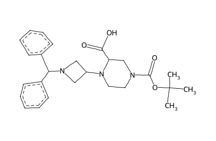 CC(C)(C)OC(=O)N1CCN(C2CN(C(c3ccccc3)c3ccccc3)C2)C(C(=O)O)C1